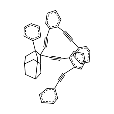 C(#Cc1ccccc1C#CC1(C#Cc2ccccc2C#Cc2ccccc2)C2CC3CC(C2)CC1(c1ccccc1)C3)c1ccccc1